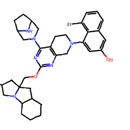 CCc1cccc2cc(O)cc(N3CCc4c(nc(OCC56CC(F)CN5C5CCCCC5C6)nc4N4CC5CCC(C4)N5)C3)c12